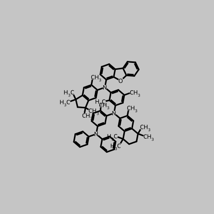 Cc1cc(N(c2cc(N(c3ccccc3)c3ccccc3)ccc2C)c2cc3c(cc2C)C(C)(C)CCC3(C)C)c(C)c(N(c2cc3c(cc2C)C(C)(C)CC3(C)C)c2cccc3c2oc2ccccc23)c1